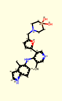 Cc1c(Nc2c(C#N)cncc2-c2ccc(CN3CCS(O)(O)CC3)o2)ccc2[nH]ccc12